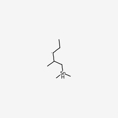 CC[CH]C(C)[CH2][SnH]([CH3])[CH3]